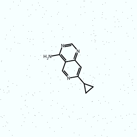 Nc1ncnc2cc(C3CC3)ncc12